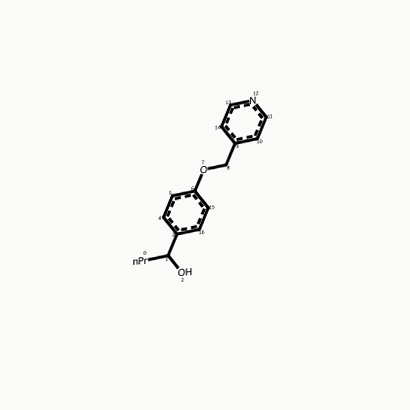 CCCC(O)c1ccc(OCc2ccncc2)cc1